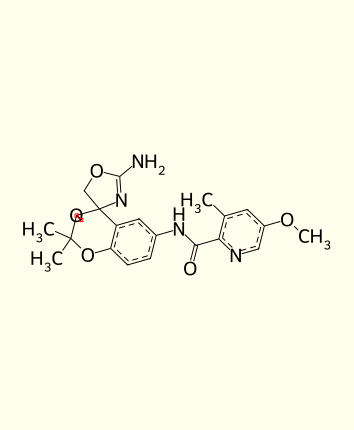 COc1cnc(C(=O)Nc2ccc3c(c2)C2(COC(N)=N2)C2(COC2)C(C)(C)O3)c(C)c1